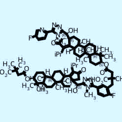 CC(C)C1=C2[C@H]3CC[C@@H]4[C@@]5(C)CC[C@H](OC(=O)CC(C)(C)C(=O)O)C(C)(C)[C@@H]5CC[C@@]4(C)[C@]3(C)CC[C@@]2([C@H](O)c2nnc(-c3ccc(F)c(CC(C)(CC(=O)O[C@H]4CC[C@]5(C)[C@H]6CC[C@@H]7C8=C(C(C)C)C(=O)C[C@]8([C@@H](O)c8nnc(-c9ccc(F)cn9)n8C)CC[C@@]7(C)[C@]6(C)CC[C@H]5C4(C)C)C(=O)O)c3)n2C)CC1=O